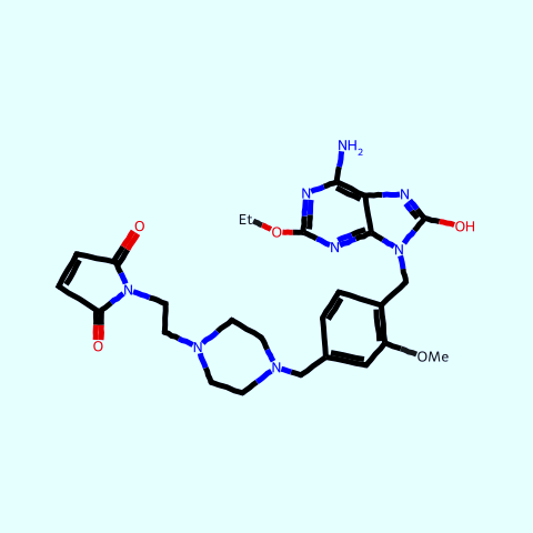 CCOc1nc(N)c2nc(O)n(Cc3ccc(CN4CCN(CCN5C(=O)C=CC5=O)CC4)cc3OC)c2n1